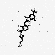 COCCC1CN(C(=O)c2ccc(Cl)c(Cc3nc4c(C)cc(C(F)(F)F)cc4n3C)c2Cl)C1